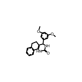 COc1cc(OC)cc(C2NC(=O)NC3=C2CCc2ccccc23)c1